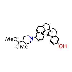 COC(OC)C1CCN(c2ccc([C@H]3c4ccc(O)cc4CC[C@@]34CCc3ccccc34)cc2)CC1